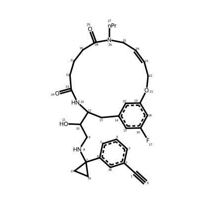 C#Cc1cccc(C2(NCC(O)C3Cc4cc(F)cc(c4)OC/C=C\CN(CCC)C(=O)CCCC(=O)N3)CC2)c1